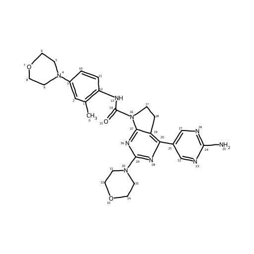 Cc1cc(N2CCOCC2)ccc1NC(=O)N1CCc2c(-c3cnc(N)nc3)nc(N3CCOCC3)nc21